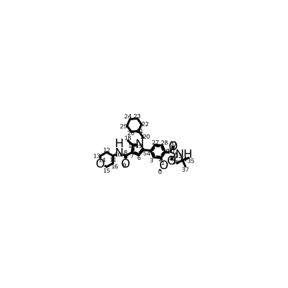 COc1cc(-c2cc(C(=O)NC3CCOCC3)c(C)n2CC2CCCCC2)ccc1S(=O)(=O)NC(C)(C)C